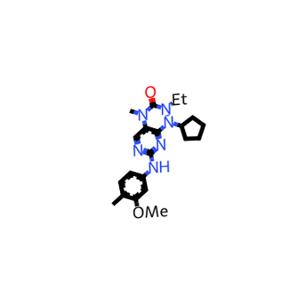 CCN1C(=O)N(C)c2cnc(Nc3ccc(C)c(OC)c3)nc2N1C1CCCC1